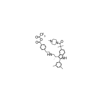 Cc1cc(C)cc(-c2[nH]c3ccc(C(C)(C)C(=O)N4CCN(C)CC4)cc3c2[C@H](C)CNCCc2ccc(C(=O)OC(=O)C(F)(F)F)cc2)c1